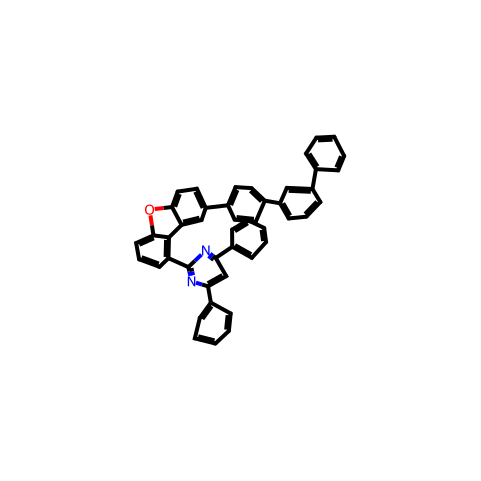 c1ccc(-c2cccc(-c3ccc(-c4ccc5oc6cccc(-c7nc(-c8ccccc8)cc(-c8ccccc8)n7)c6c5c4)cc3)c2)cc1